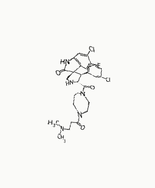 CN(C)CCC(=O)N1CCN(C(=O)[C@@H]2NC[C@]3(C(=O)Nc4cc(Cl)c(F)cc43)[C@H]2c2cccc(Cl)c2)CC1